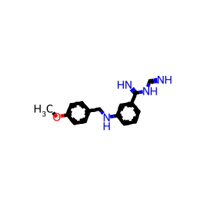 COc1ccc(CNc2cccc(C(=N)NC=N)c2)cc1